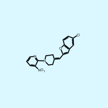 O=[N+]([O-])c1cccnc1N1CCC(=Cc2cc3cc(Cl)ccc3o2)CC1